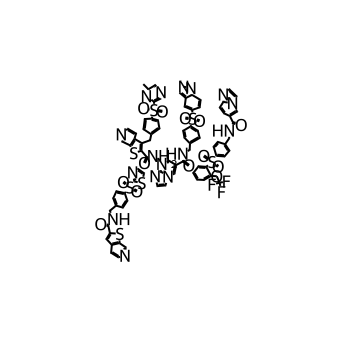 Cc1cncc(S(=O)(=O)c2ccc(Cc3c(C(N)=O)sc4cnccc34)cc2)n1.Cn1cc2cc(S(=O)(=O)c3ccc(CNC(=O)c4cnc5nccn5c4)cc3)ccc2n1.O=C(NCc1ccc(S(=O)(=O)c2ccccc2OC(F)(F)F)cc1)c1ccc2nccn2c1.O=C(NCc1ccc(S(=O)(=O)c2nccs2)cc1)c1cc2ccncc2s1